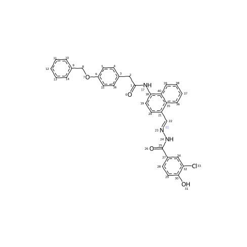 O=C(Cc1ccc(OCc2ccccc2)cc1)Nc1ccc(/C=N/NC(=O)c2ccc(O)c(Cl)c2)c2ccccc12